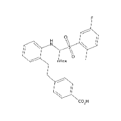 CCCCCCC(Nc1ccccc1CCc1ccc(C(=O)O)cc1)S(=O)(=O)c1cc(F)ccc1C